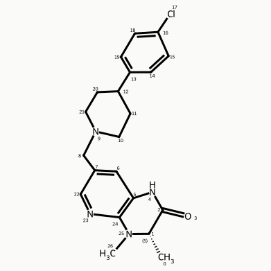 C[C@H]1C(=O)Nc2cc(CN3CCC(c4ccc(Cl)cc4)CC3)cnc2N1C